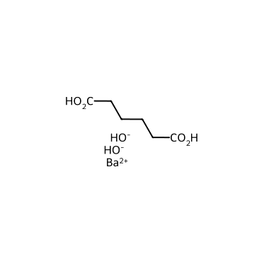 O=C(O)CCCCC(=O)O.[Ba+2].[OH-].[OH-]